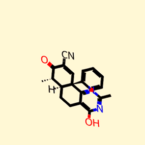 Cc1nc(O)c2c(n1)[C@@]1(c3ccccc3)C=C(C#N)C(=O)[C@@H](C)[C@@H]1CC2